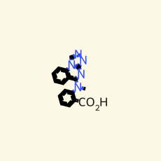 CN(c1ccccc1C(=O)O)c1nc2nncn2c2ccccc12